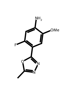 COc1cc(-c2nnc(C)o2)c(F)cc1N